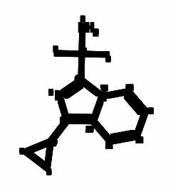 CC(C)(N)c1nc(C2CC2)c2ccccn12